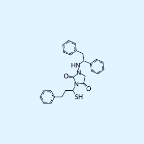 O=C1CN(NC(Cc2ccccc2)c2ccccc2)C(=O)N1C(S)CCc1ccccc1